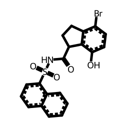 O=C(NS(=O)(=O)c1cccc2ccccc12)C1CCc2c(Br)ccc(O)c21